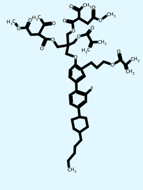 C=C(C)C(=O)OCCCc1cc(-c2ccc(C3CCC(CCCCC)CC3)cc2F)ccc1OCC(COC(=O)C(=C)C)(COC(=O)C(CC(=O)OC)C(C)=O)COC(=O)C(CC(=O)OC)C(C)=O